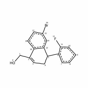 OCC1=CCC(c2ccccc2F)c2cc(Br)ccc21